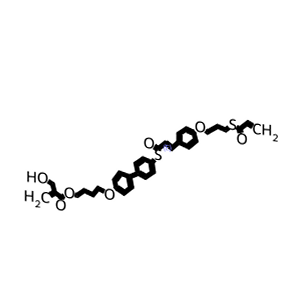 C=CC(=O)SCCCOc1ccc(/C=C/C(=O)Sc2ccc(-c3ccc(OCCCCOC(=O)C(=C)CO)cc3)cc2)cc1